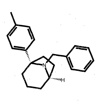 Cc1ccc([C@]23CCC[C@H](CC2)N3Cc2ccccc2)cc1